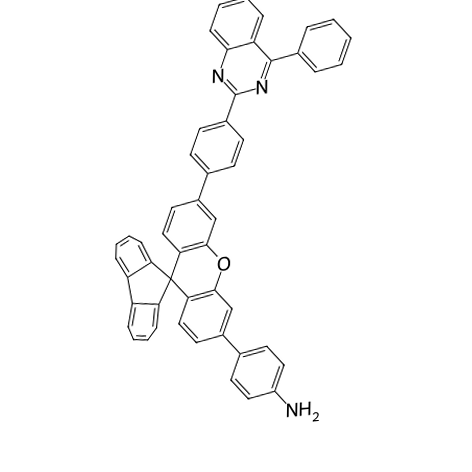 Nc1ccc(-c2ccc3c(c2)Oc2cc(-c4ccc(-c5nc(-c6ccccc6)c6ccccc6n5)cc4)ccc2C32c3ccccc3-c3ccccc32)cc1